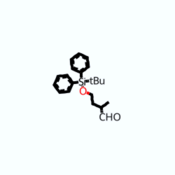 CC(C=O)CCO[Si](c1ccccc1)(c1ccccc1)C(C)(C)C